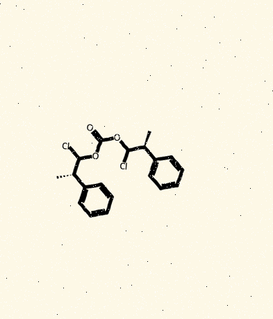 C[C@@H](c1ccccc1)C(Cl)OC(=O)OC(Cl)[C@@H](C)c1ccccc1